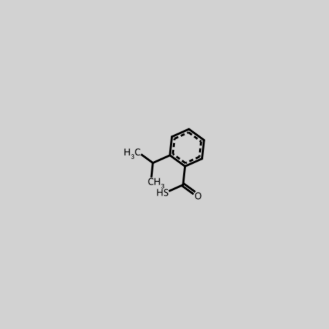 CC(C)c1ccccc1C(=O)S